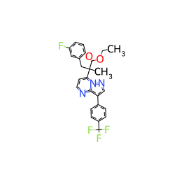 CCOC(=O)C(C)(Cc1cccc(F)c1)c1ccnc2c(-c3ccc(C(F)(F)F)cc3)cnn12